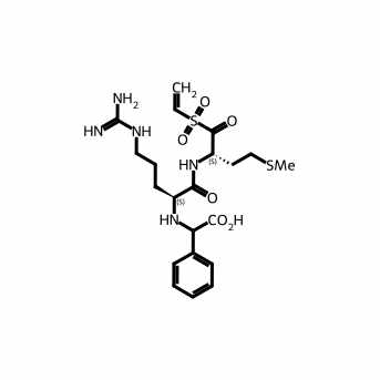 C=CS(=O)(=O)C(=O)[C@H](CCSC)NC(=O)[C@H](CCCNC(=N)N)NC(C(=O)O)c1ccccc1